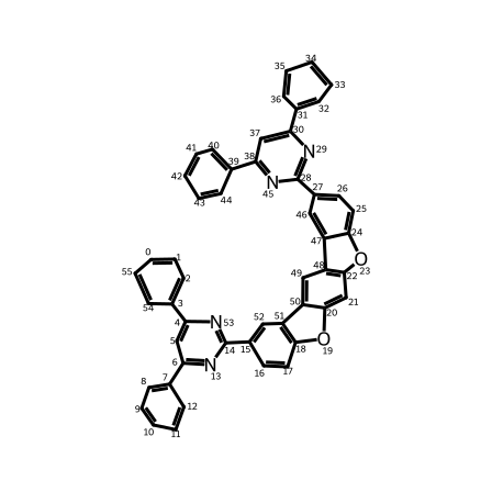 c1ccc(-c2cc(-c3ccccc3)nc(-c3ccc4oc5cc6oc7ccc(-c8nc(-c9ccccc9)cc(-c9ccccc9)n8)cc7c6cc5c4c3)n2)cc1